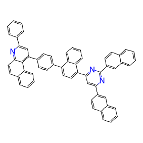 c1ccc(-c2cc(-c3ccc(-c4ccc(-c5cc(-c6ccc7ccccc7c6)nc(-c6ccc7ccccc7c6)n5)c5ccccc45)cc3)c3c(ccc4ccccc43)n2)cc1